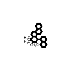 CC1=C(C)C(C)(C)c2ccc3c(ccc4ccccc43)c2C1c1cccc2ccccc12